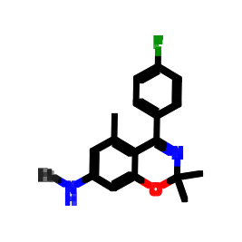 CCNc1cc(C)c2c(c1)OC(C)(C)N=C2c1ccc(F)cc1